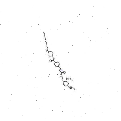 C=CCCCCCCOC1CCC(OC(=O)c2ccc(/C=C/C(=O)OCCc3ccc(N)cc3N)cc2)CC1